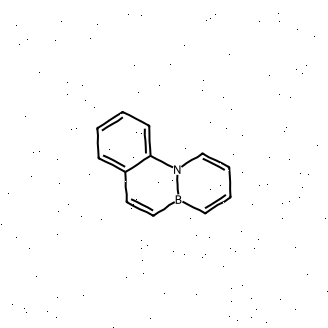 C1=CB2C=Cc3ccccc3N2C=C1